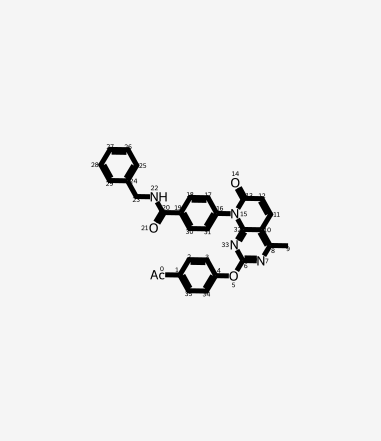 CC(=O)c1ccc(Oc2nc(C)c3ccc(=O)n(-c4ccc(C(=O)NCc5ccccc5)cc4)c3n2)cc1